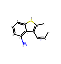 C/C=C\c1c(C)sc2cccc(N)c12